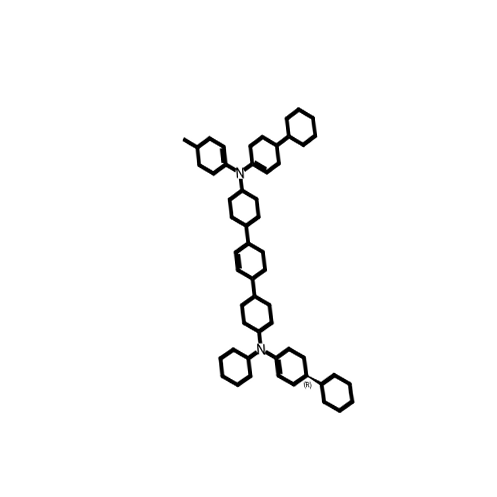 CC1CC=C(N(C2=CCC(C3CCCCC3)CC2)C2CCC(C3C=CC(C4CCC(N(C5=CC[C@H](C6CCCCC6)CC5)C5CCCCC5)CC4)CC3)CC2)CC1